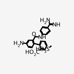 CS(=O)(=O)O.N=C(N)c1ccc(NC(=O)c2cc(N)ccc2-c2ccccc2C(=O)O)cc1